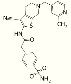 Cc1cc(CN2CCc3c(sc(NC(=O)Cc4ccc(S(N)(=O)=O)cc4)c3C#N)C2)ccn1